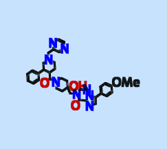 COc1ccc(-c2cnc3c(=O)n(CC4(O)CCN(C(=O)C5CCN(Cc6cnccn6)CC5c5ccccc5)CC4)cnn23)cc1